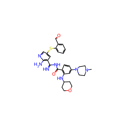 CN1CCN(c2ccc(C(=O)NC(=N)c3cc(Sc4ccccc4C=O)cnc3N)c(NC3CCOCC3)c2)CC1